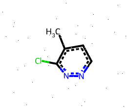 Cc1ccnnc1Cl